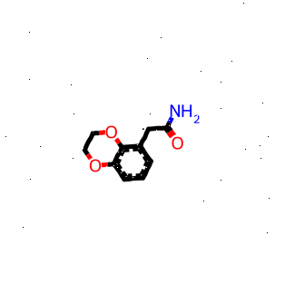 NC(=O)[CH]c1cccc2c1OCCO2